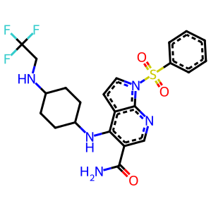 NC(=O)c1cnc2c(ccn2S(=O)(=O)c2ccccc2)c1NC1CCC(NCC(F)(F)F)CC1